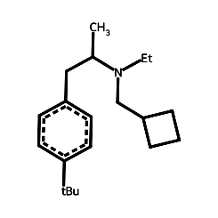 CCN(CC1CCC1)C(C)Cc1ccc(C(C)(C)C)cc1